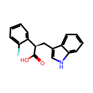 O=C(O)[C@H](Cc1c[nH]c2ccccc12)c1ccccc1F